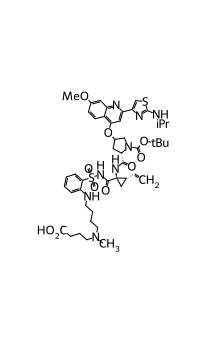 C=C[C@@H]1C[C@]1(NC(=O)[C@@H]1C[C@@H](Oc2cc(-c3csc(NC(C)C)n3)nc3cc(OC)ccc23)CN1C(=O)OC(C)(C)C)C(=O)NS(=O)(=O)c1ccccc1NCCCCN(C)CCCC(=O)O